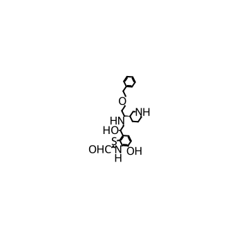 O=CC1Nc2c(O)ccc([C@@H](O)CNC(CCOCCc3ccccc3)[C@@H]3CCCNC3)c2S1